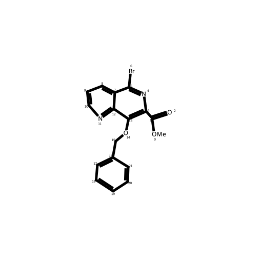 COC(=O)c1nc(Br)c2cccnc2c1OCc1ccccc1